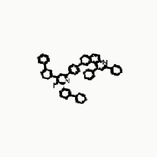 IC1C(C2=CC(c3ccccc3)=CCC2)=CC(c2ccc(C3C=c4c(ccc5nc(C6=CCCC=C6)cc(C6=CCCC=C6)c45)=CC3)cc2)=N[C@@H]1c1cccc(C2=CCCC=C2)c1